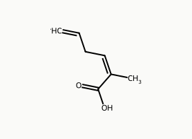 [CH]=CCC=C(C)C(=O)O